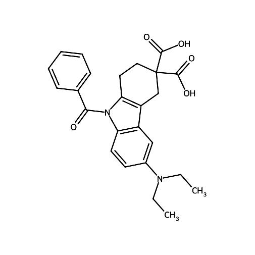 CCN(CC)c1ccc2c(c1)c1c(n2C(=O)c2ccccc2)CCC(C(=O)O)(C(=O)O)C1